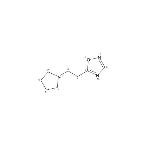 c1noc(CCC2CCCC2)n1